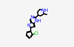 CC1CC(c2ncc3nc(-c4ccccc4Cl)cc-3[nH]2)CCN1